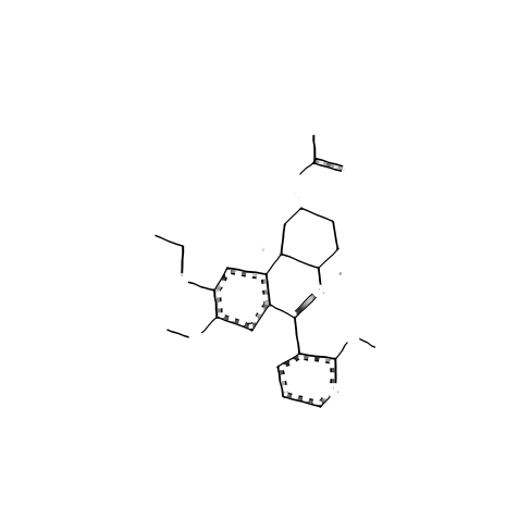 CCOc1cc2c(cc1OC)C(c1cccnc1OC)=N[C@@H]1CC[C@@H](OC(C)=O)C[C@H]21